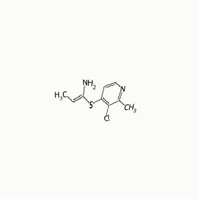 C/C=C(\N)Sc1ccnc(C)c1Cl